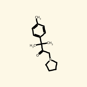 Cc1ccc(C(C)(C)C(=O)CN2CCCC2)cc1